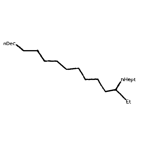 [CH2]CC(CCCCCCC)CCCCCCCCCCCCCCCCCCC